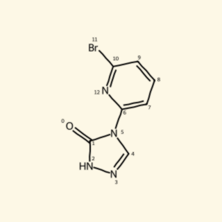 O=c1[nH]ncn1-c1cccc(Br)n1